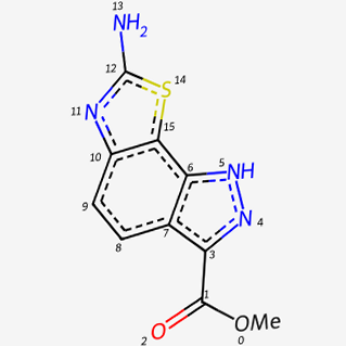 COC(=O)c1n[nH]c2c1ccc1nc(N)sc12